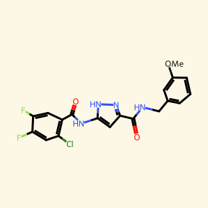 COc1cccc(CNC(=O)c2cc(NC(=O)c3cc(F)c(F)cc3Cl)[nH]n2)c1